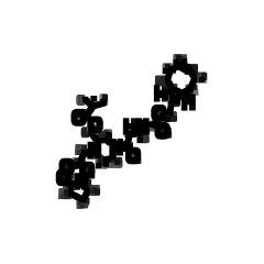 CC(C)C(=O)OCC1CN(C(=O)CCNC(=O)OC[C@@H]2[C@@H]3CCC#CCC[C@@H]32)CCN1CC(=O)ON1CCCC1=O